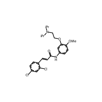 COc1ccc(NC(=O)/C=C/c2ccc(Cl)cc2Cl)cc1OCCN(C(C)C)C(C)C